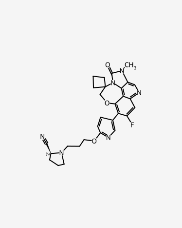 Cn1c(=O)n2c3c4c(c(-c5ccc(OCCCN6CCC[C@H]6C#N)nc5)c(F)cc4ncc31)OCC21CCC1